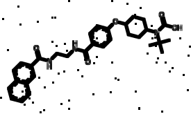 CC(C)(C)N(C(=O)O)C1CCC(Oc2ccc(C(=O)NCCNC(=O)c3ccc4ccccc4c3)cc2)CC1